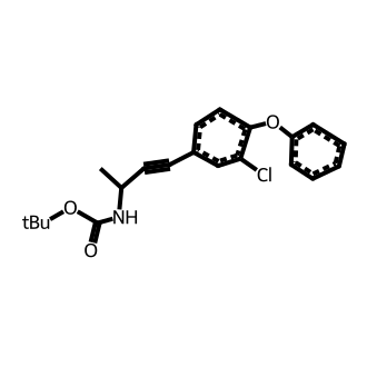 CC(C#Cc1ccc(Oc2ccccc2)c(Cl)c1)NC(=O)OC(C)(C)C